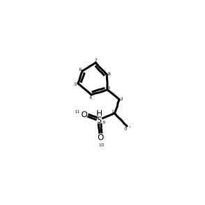 [CH2]C(Cc1ccccc1)[SH](=O)=O